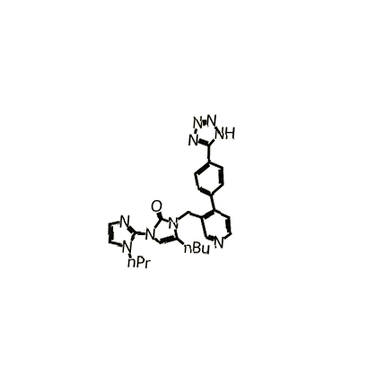 CCCCc1cn(-c2nccn2CCC)c(=O)n1Cc1cnccc1-c1ccc(-c2nnn[nH]2)cc1